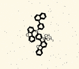 C[Si]1(C)c2cc(N(c3cccc(-c4cccc5ccccc45)c3)c3cccc4oc5ccccc5c34)ccc2-c2c1ccc1c2oc2ccccc21